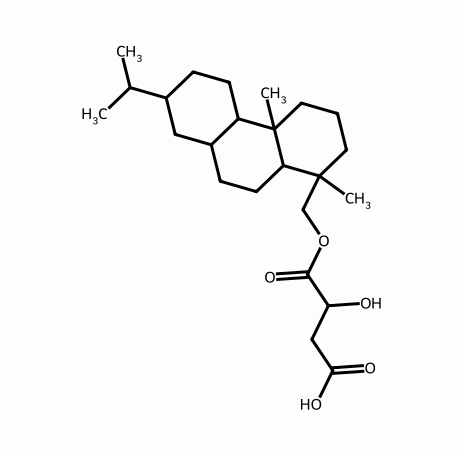 CC(C)C1CCC2C(CCC3C(C)(COC(=O)C(O)CC(=O)O)CCCC23C)C1